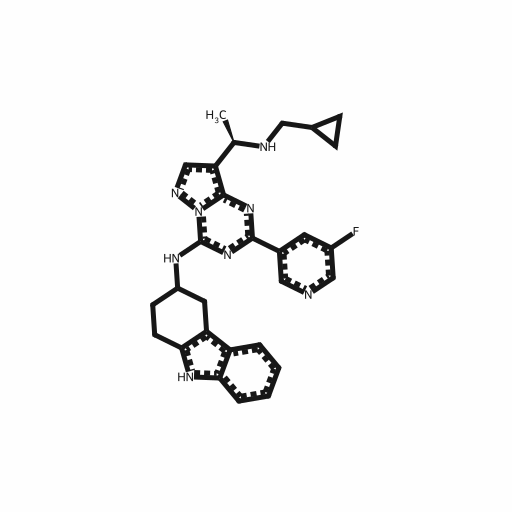 C[C@@H](NCC1CC1)c1cnn2c(NC3CCc4[nH]c5ccccc5c4C3)nc(-c3cncc(F)c3)nc12